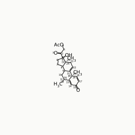 CC(=O)OCC(=O)[C@@]1(O)CCC2C3C[C@H](C)C4=CC(=O)C=C[C@]4(C)C3=CC[C@@]21C